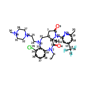 CCN1C(=O)[C@@H]2C(CC(=O)N2c2cc(C(F)(F)F)cc(C)n2)CN(CCN2CCN(C)CC2)c2c(Cl)cccc21